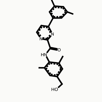 Cc1cc(C)cc(-c2ccnc(C(=O)Nc3c(C)cc(CO)cc3C)n2)c1